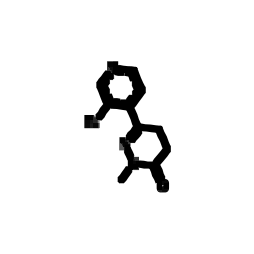 CCc1cnccc1C1=NN(C)C(=O)CC1